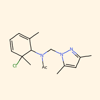 CC(=O)N(Cn1nc(C)cc1C)C1C(C)=CC=CC1(C)Cl